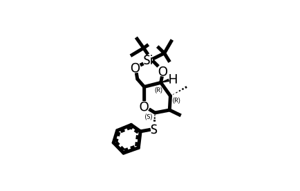 CC1[C@@H](C)[C@H]2O[Si](C(C)(C)C)(C(C)(C)C)OCC2O[C@H]1Sc1ccccc1